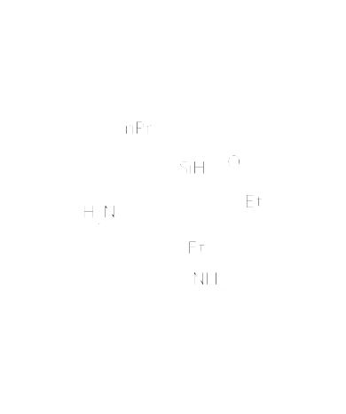 CCC[SiH](OCC)C(N)CC.N